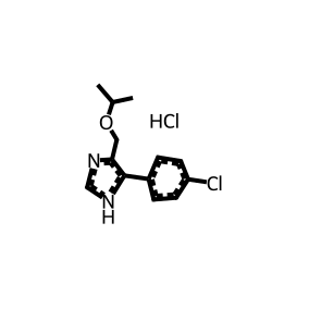 CC(C)OCc1nc[nH]c1-c1ccc(Cl)cc1.Cl